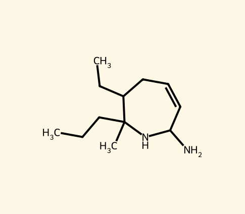 CCCC1(C)NC(N)C=CCC1CC